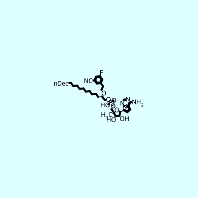 CCCCCCCCCCCCCCCCCCCC[C@H](COP(=O)(O)OC[C@@]1(C)O[C@@H](c2ccc3c(N)ncnn23)[C@H](O)[C@@H]1O)OCCc1cc(F)cc(C#N)c1